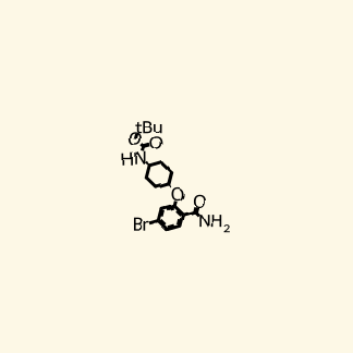 CC(C)(C)OC(=O)N[C@H]1CC[C@H](Oc2cc(Br)ccc2C(N)=O)CC1